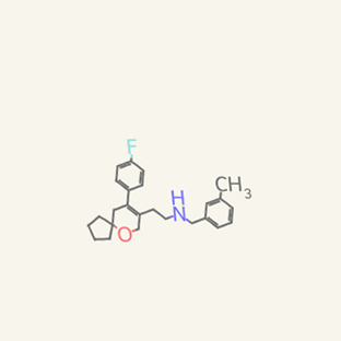 Cc1cccc(CNCCC2=C(c3ccc(F)cc3)CC3(CCCC3)OC2)c1